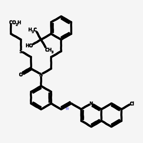 CC(C)(O)c1ccccc1CCCN(C(=O)CSCCC(=O)O)c1cccc(/C=C/c2ccc3ccc(Cl)cc3n2)c1